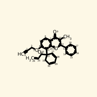 C#CCOc1ccc2c(=O)c(C)c(-c3ccccc3)oc2c1C1(C(=O)C=C)C=CC=CC1